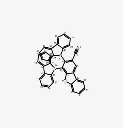 N#Cc1cc2c(oc3ccccc32)c(-n2c3ccccc3c3ccccc32)c1-n1c2ccccc2c2ccccc21